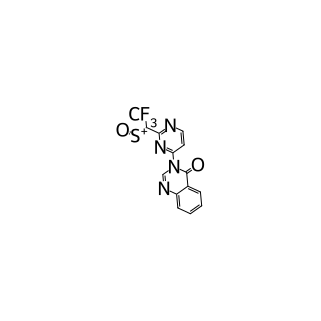 O=[S+]C(c1nccc(-n2cnc3ccccc3c2=O)n1)C(F)(F)F